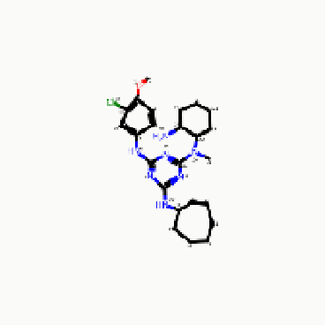 COc1ccc(Nc2nc(NC3CCCCCC3)nc(N(C)C3CCCCC3N)n2)cc1Cl